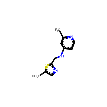 O=C(O)c1cnc(CNc2ccnc(C(F)(F)F)c2)s1